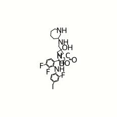 CC(=O)O.O=C(c1ccc(F)c(F)c1Nc1ccc(I)cc1F)N1CC(O)(CNC2CCCCNC2)C1